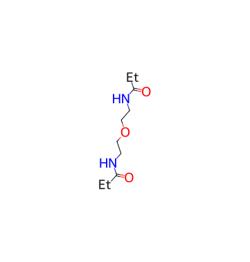 CCC(=O)NCCOCCNC(=O)CC